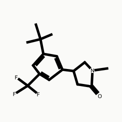 CN1CC(c2cc(C(C)(C)C)cc(C(F)(F)F)c2)CC1=O